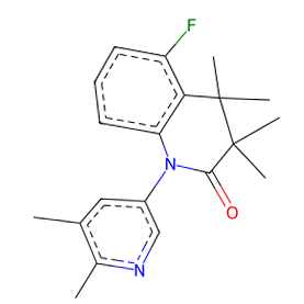 Cc1cc(N2C(=O)C(C)(C)C(C)(C)c3c(F)cccc32)cnc1C